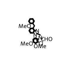 COc1ccccc1Cc1cccc2[nH]c(CN(C=O)c3ccc(OC)c(OC)c3Cl)nc12